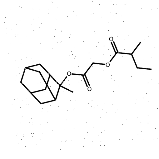 CCC(C)C(=O)OCC(=O)OC1(C)C2CC3CC(C2)CC1C3